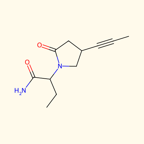 CC#CC1CC(=O)N(C(CC)C(N)=O)C1